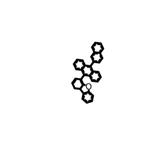 C1=CC(c2c3ccccc3c(-c3ccc4ccccc4c3)c3ccccc23)=C2Oc3ccccc3C2C1